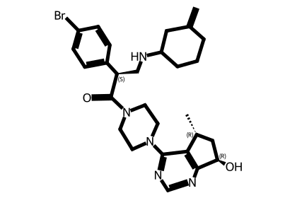 C=C1CCCC(NC[C@@H](C(=O)N2CCN(c3ncnc4c3[C@H](C)C[C@H]4O)CC2)c2ccc(Br)cc2)C1